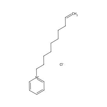 C=CCCCCCCCC[n+]1ccccc1.[Cl-]